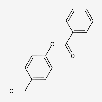 [O]Cc1ccc(OC(=O)c2ccccc2)cc1